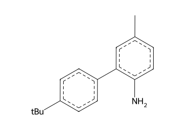 Cc1ccc(N)c(-c2ccc(C(C)(C)C)cc2)c1